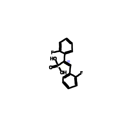 O=P(O)(O)/C(=C\c1ccccc1F)c1ccccc1F